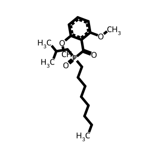 CCCCCCCCP(=O)(CC(C)C)C(=O)c1c(OC)cccc1OC